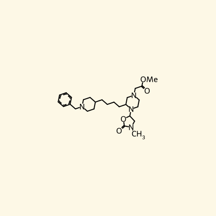 COC(=O)CN1CCN(C2CN(C)C(=O)O2)C(CCCCC2CCN(Cc3ccccc3)CC2)C1